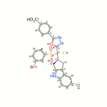 O=C(O)c1ccc(-c2nnc([C@@](F)([C@@H]3Cc4[nH]c5ccc(Cl)cc5c4C3)S(=O)(=O)c3cccc(Br)c3)o2)cc1